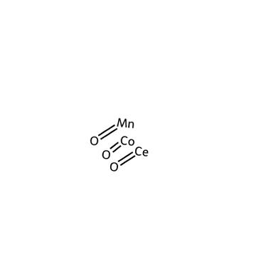 [O]=[Ce].[O]=[Co].[O]=[Mn]